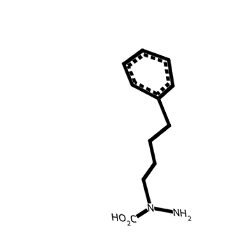 NN(CCCCc1ccccc1)C(=O)O